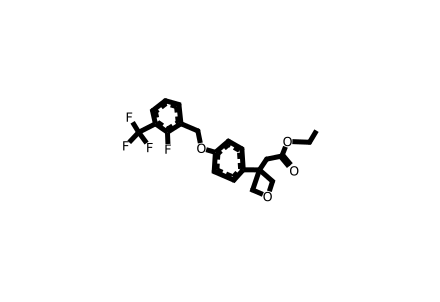 CCOC(=O)CC1(c2ccc(OCc3cccc(C(F)(F)F)c3F)cc2)COC1